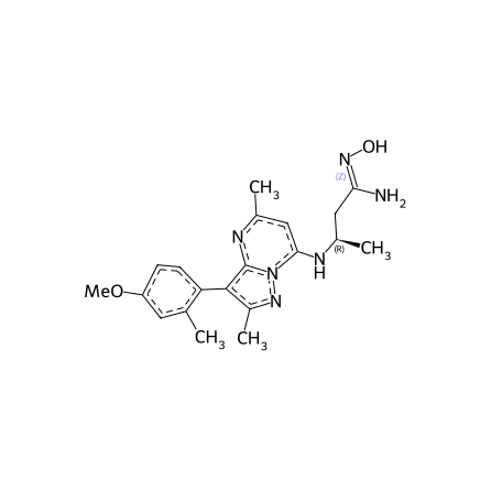 COc1ccc(-c2c(C)nn3c(N[C@H](C)C/C(N)=N/O)cc(C)nc23)c(C)c1